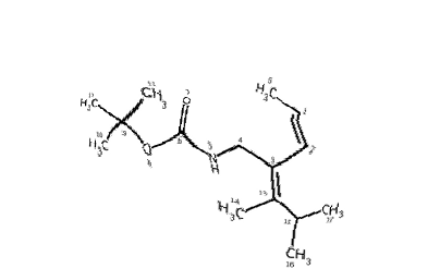 C/C=C\C(CNC(=O)OC(C)(C)C)=C(\C)C(C)C